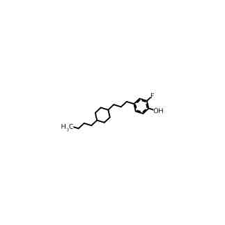 CCCCC1CCC(CCCc2ccc(O)c(F)c2)CC1